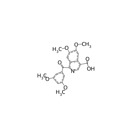 COc1cc(OC)cc(C(=O)c2ncc(C(=O)O)c3cc(OC)c(OC)cc23)c1